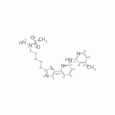 CCCN(CCCCCc1ncc(-c2cccc(Nc3cc(C)ccn3)n2)s1)S(C)(=O)=O